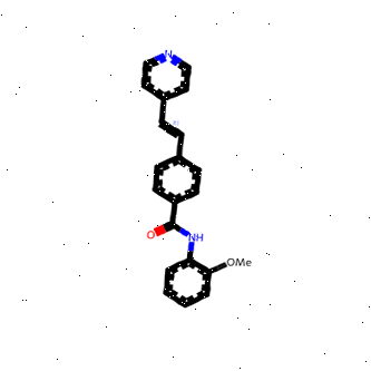 COc1ccccc1NC(=O)c1ccc(/C=C/c2ccncc2)cc1